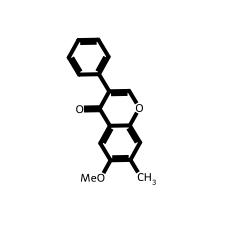 COc1cc2c(=O)c(-c3ccccc3)coc2cc1C